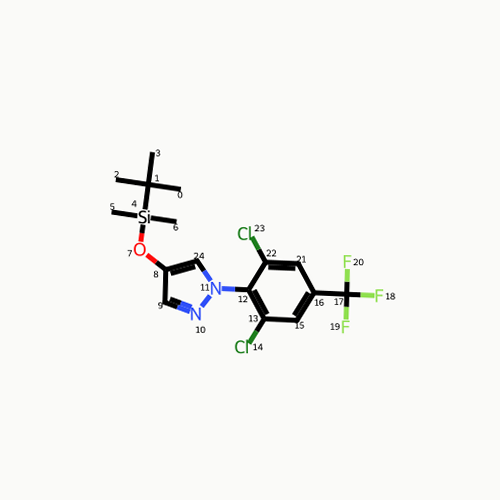 CC(C)(C)[Si](C)(C)Oc1cnn(-c2c(Cl)cc(C(F)(F)F)cc2Cl)c1